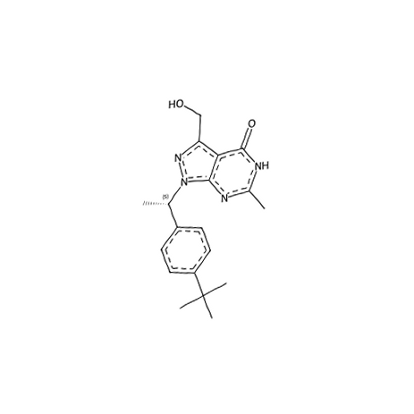 Cc1nc2c(c(CO)nn2[C@@H](C)c2ccc(C(C)(C)C)cc2)c(=O)[nH]1